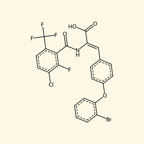 O=C(O)/C(=C/c1ccc(Oc2ccccc2Br)cc1)NC(=O)c1c(C(F)(F)F)ccc(Cl)c1F